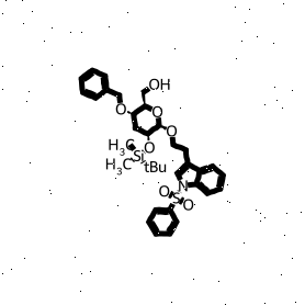 CC(C)(C)[Si](C)(C)O[C@@H]1C[C@H](OCc2ccccc2)[C@@H](CO)O[C@H]1OCCc1cn(S(=O)(=O)c2ccccc2)c2ccccc12